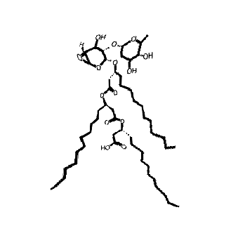 CCCCCCCCCCC[C@H](CC(=O)O)OC(=O)C[C@@H](CCCCCCCCCCC)OC(=O)C[C@@H](CCCCCCCCCCC)O[C@@H]1OC2O[C@@H]2C(O)[C@@H]1O[C@H]1CC(O)[C@@H](O)C(C)O1